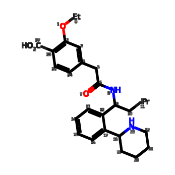 CCOc1cc(CC(=O)NC(CC(C)C)c2ccccc2C2CCCCN2)ccc1C(=O)O